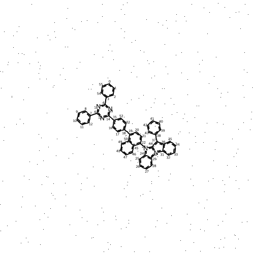 c1ccc(-c2nc(-c3ccccc3)nc(-c3ccc(-c4ccc(-n5c6ccccc6n6c7ccccc7c(-c7ccccc7)c56)c5ccccc45)cc3)n2)cc1